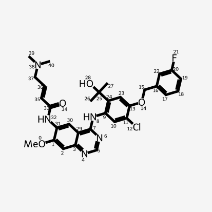 COc1cc2ncnc(Nc3cc(Cl)c(OCc4cccc(F)c4)cc3C(C)(C)O)c2cc1NC(=O)C=CCN(C)C